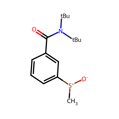 C[S+]([O-])c1cccc(C(=O)N(C(C)(C)C)C(C)(C)C)c1